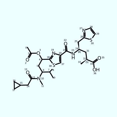 CC(=O)OC(CC(C(C)C)N(C)C(=O)CC1CC1)c1nc(C(=O)N[C@@H](Cc2nccs2)C[C@H](C)C(=O)O)cs1